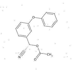 CC(=O)O[C@H](C#N)c1cccc(Oc2ccccc2)c1